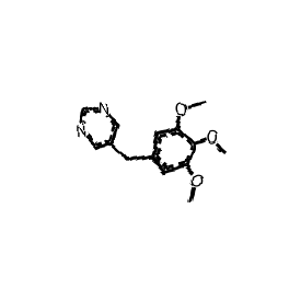 COc1cc(Cc2cncnc2)cc(OC)c1OC